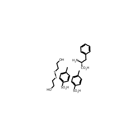 Cc1ccc(S(=O)(=O)O)cc1.Cc1ccc(S(=O)(=O)O)cc1.N[C@@H](Cc1ccccc1)C(=O)O.OCCSSCCO